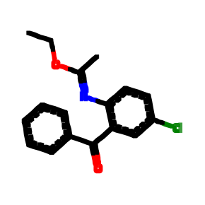 CCO/C(C)=N/c1ccc(Cl)cc1C(=O)c1ccccc1